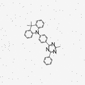 Cc1nc(-c2ccccc2)nc(-c2ccc(N3c4ccccc4C(C)(C)c4ccccc43)cc2)n1